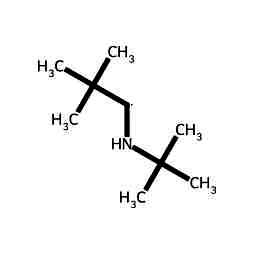 CC(C)(C)[CH]NC(C)(C)C